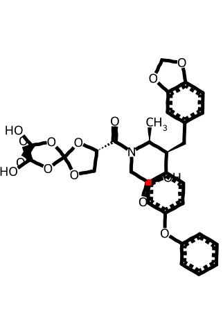 C[C@@H]([C@@H](Cc1ccc2c(c1)OCO2)c1ccc(Oc2ccccc2)cc1)N(CC(=O)O)C(=O)[C@@H]1COC(OC(=O)O)(OC(=O)O)O1